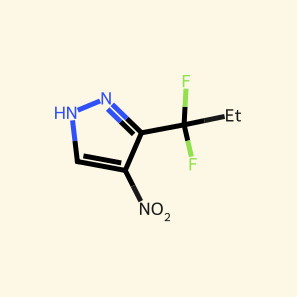 CCC(F)(F)c1n[nH]cc1[N+](=O)[O-]